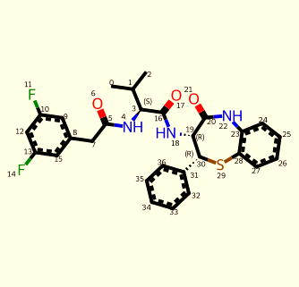 CC(C)[C@H](NC(=O)Cc1cc(F)cc(F)c1)C(=O)N[C@@H]1C(=O)Nc2ccccc2S[C@@H]1c1ccccc1